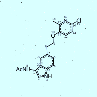 CC(=O)Nc1c[nH]c2ccc(CCOc3ccc(Cl)nc3C)cc12